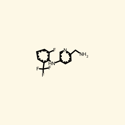 NCc1ccc(Nc2c(F)cccc2C(F)(F)F)cn1